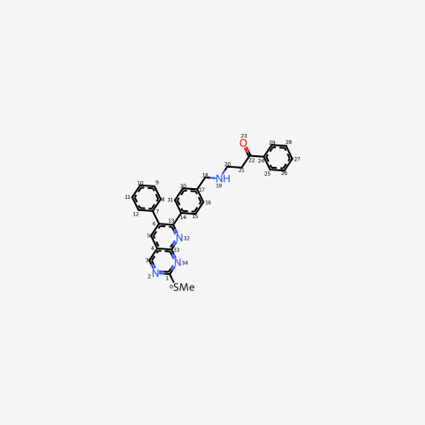 CSc1ncc2cc(-c3ccccc3)c(-c3ccc(CNCCC(=O)c4ccccc4)cc3)nc2n1